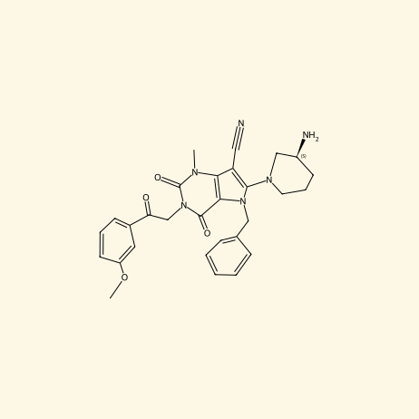 COc1cccc(C(=O)Cn2c(=O)c3c(c(C#N)c(N4CCC[C@H](N)C4)n3Cc3ccccc3)n(C)c2=O)c1